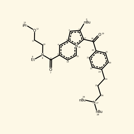 CCCCc1cc2cc(C(=O)N(CC)CCOC(C)C)ccn2c1C(=O)c1ccc(CCCN(CCCC)CCCC)cc1